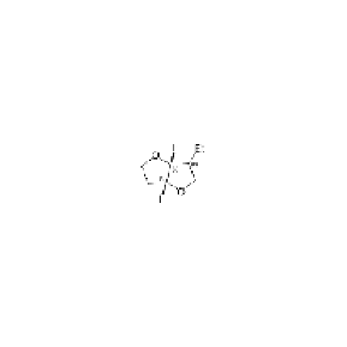 CC[C@@H]1CO[C@@H]2CCO[C@H]12